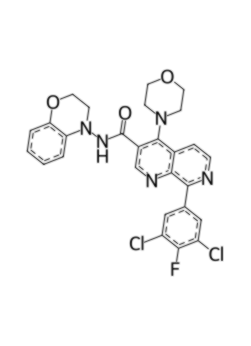 O=C(NN1CCOc2ccccc21)c1cnc2c(-c3cc(Cl)c(F)c(Cl)c3)nccc2c1N1CCOCC1